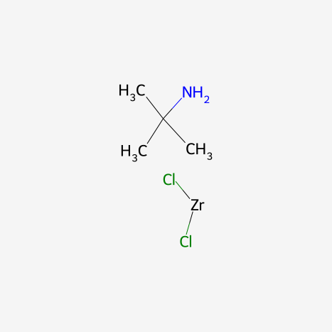 CC(C)(C)N.[Cl][Zr][Cl]